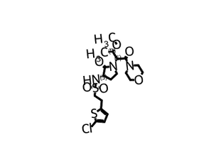 CO[C@H](C)[C@@H](C(=O)N1CCOCC1)N1CC[C@H](NS(=O)(=O)CCc2ccc(Cl)s2)C1=O